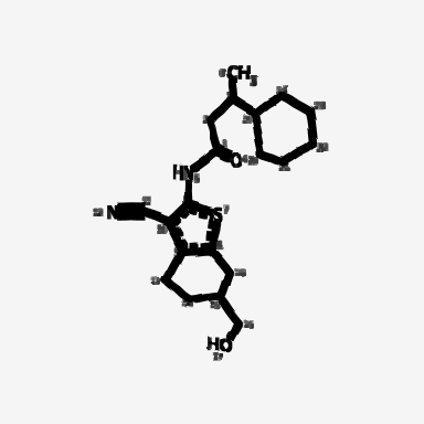 CC(CC(=O)Nc1sc2c(c1C#N)CCC(CO)C2)C1CCCCC1